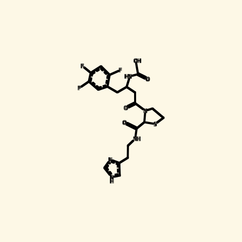 O=C(O)NC(CC(=O)N1CCSC1C(=O)NCCc1c[nH]cn1)Cc1cc(F)c(F)cc1F